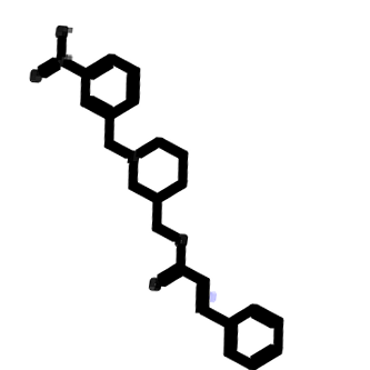 O=C(/C=C/c1ccccc1)OCC1CCCN(Cc2cccc([N+](=O)[O-])c2)C1